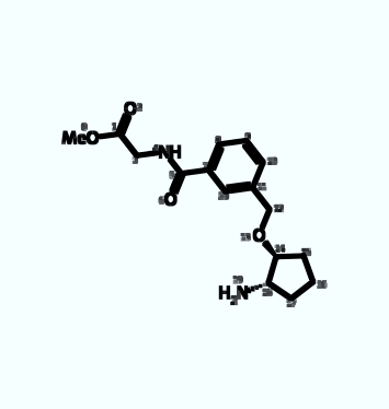 COC(=O)CNC(=O)c1cccc(CO[C@H]2CCC[C@@H]2N)c1